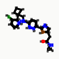 CNC(=O)Cc1cnc(-c2ccc(NCC3(c4ncccc4F)CCC3)nn2)s1